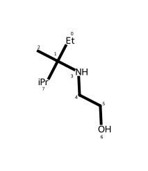 CCC(C)(NCCO)C(C)C